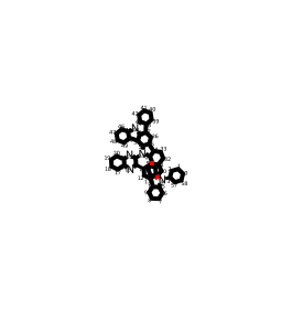 c1ccc(-n2c3ccccc3c3cc(-c4nc5ccccc5nc4-n4c5c6ccccc6ccc5c5cc6c7ccccc7n7c8ccccc8c(c54)c67)ccc32)cc1